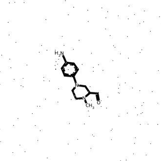 CN1CCN(c2ccc(N)cc2)CC1C=O